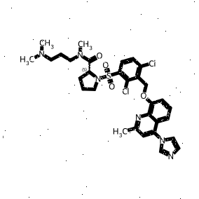 Cc1cc(-n2ccnc2)c2cccc(OCc3c(Cl)ccc(S(=O)(=O)N4CCC[C@H]4C(=O)N(C)CCCN(C)C)c3Cl)c2n1